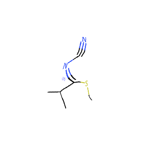 CS/C(=N\C#N)C(C)C